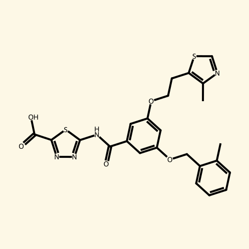 Cc1ccccc1COc1cc(OCCc2scnc2C)cc(C(=O)Nc2nnc(C(=O)O)s2)c1